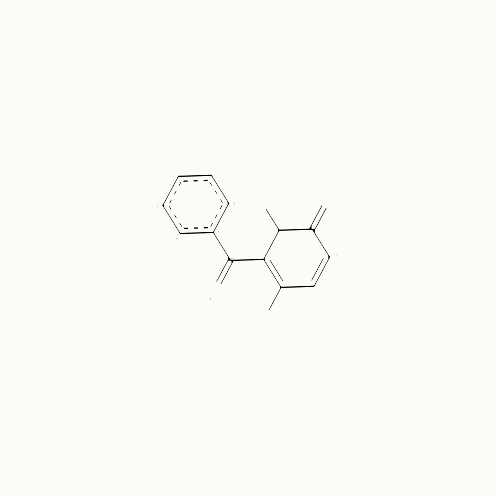 CC1=C(C(=O)c2ccccc2)C(C)C(=O)C=C1